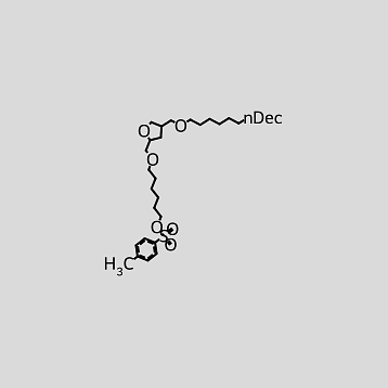 CCCCCCCCCCCCCCCCOCC1COC(COCCCCCCOS(=O)(=O)c2ccc(C)cc2)C1